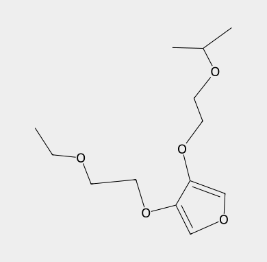 CCOCCOc1cocc1OCCOC(C)C